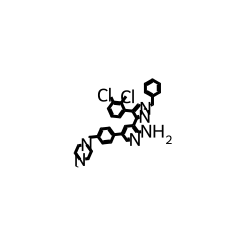 CN1CCN(Cc2ccc(-c3cnc(N)c(-c4nn(Cc5ccccc5)cc4-c4cccc(Cl)c4Cl)c3)cc2)CC1